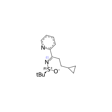 CC(C)(C)[S@+]([O-])/N=C(\CCC1CC1)c1ccccn1